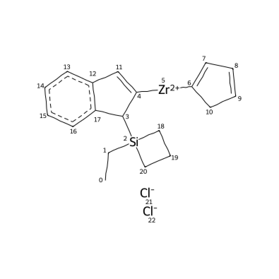 CC[Si]1(C2[C]([Zr+2][C]3=CC=CC3)=Cc3ccccc32)CCC1.[Cl-].[Cl-]